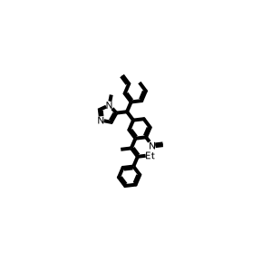 C=C/C=C(\C=C/C)C(c1cncn1C)C1C=C(/C(C)=C(\CC)c2ccccc2)C(N=C)=CC1